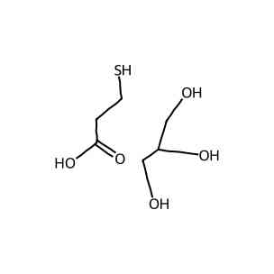 O=C(O)CCS.OCC(O)CO